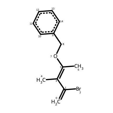 C=C(Br)/C(C)=C(\C)OCc1ccccc1